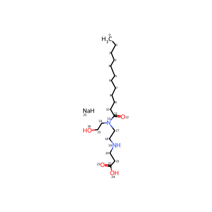 CCCCCCCCCCCC(=O)N(CCO)CCNCCC(=O)O.[NaH]